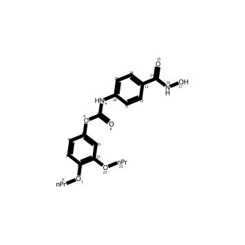 CCCOc1ccc(OC(=O)Nc2ccc(C(=O)NO)cc2)cc1OCCC